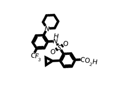 O=C(O)c1ccc(C2CC2)c(S(=O)(=O)Nc2cc(C(F)(F)F)ccc2N2CCCCC2)c1